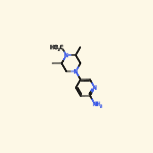 CC1CN(c2ccc(N)nc2)CC(C)N1C(=O)O